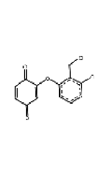 O=C1C=CC(=O)C(Oc2cccc(Cl)c2CCl)=C1